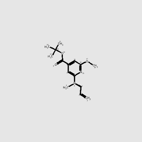 C=CCN(C)c1cc(C(=O)OC(C)(C)C)cc(OC)n1